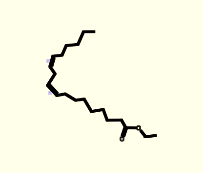 C[CH]OC(=O)CCCCCCC/C=C\C/C=C\CCCCC